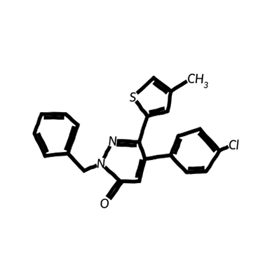 Cc1csc(-c2nn(Cc3ccccc3)c(=O)cc2-c2ccc(Cl)cc2)c1